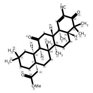 [C-]#[N+]C1=C[C@]2(C)[C@H]3CC(=O)[C@@H]4[C@@H]5CC(C)(C)CC[C@]5(CC(=O)OC)CC[C@@]4(C)[C@]3(C)CC[C@H]2C(C)(C)C1=O